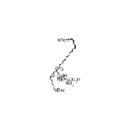 CCCCC/C=C\C/C=C\CCCCCCCCCC(=O)O[C@H](CO/C=C\CCCCCCCCCCCCCC)COP(=O)(O)OC[C@H](N)C(=O)O